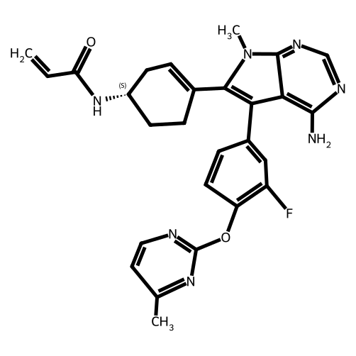 C=CC(=O)N[C@@H]1CC=C(c2c(-c3ccc(Oc4nccc(C)n4)c(F)c3)c3c(N)ncnc3n2C)CC1